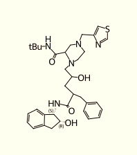 CC(C)(C)NC(=O)C1CN(Cc2cscn2)CCN1CC(O)CC(Cc1ccccc1)C(=O)N[C@H]1c2ccccc2C[C@H]1O